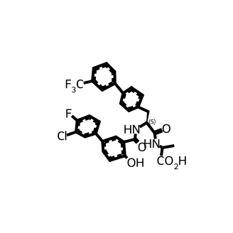 CC(NC(=O)[C@H](Cc1ccc(-c2cccc(C(F)(F)F)c2)cc1)NC(=O)c1cc(-c2ccc(F)c(Cl)c2)ccc1O)C(=O)O